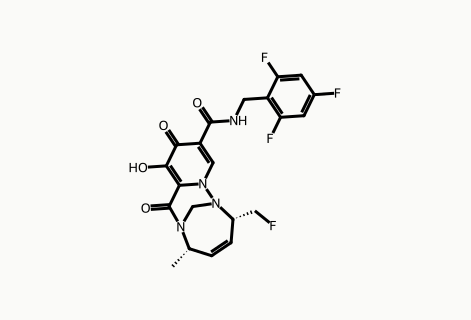 C[C@H]1C=C[C@@H](CF)N2CN1C(=O)c1c(O)c(=O)c(C(=O)NCc3c(F)cc(F)cc3F)cn12